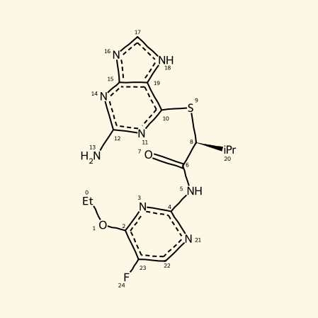 CCOc1nc(NC(=O)[C@@H](Sc2nc(N)nc3nc[nH]c23)C(C)C)ncc1F